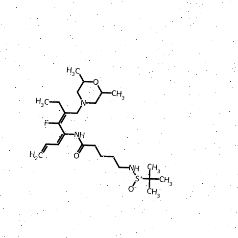 C=C/C=C(NC(=O)CCCCN[S+]([O-])C(C)(C)C)\C(F)=C(\CC)CN1CC(C)OC(C)C1